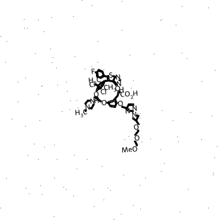 COCCOCCOCC1CN(c2nccc(COc3ccc4cc3C[C@H](C(=O)O)Oc3ncnc5sc(-c6ccc(F)cc6)c(c35)-c3c(C)c(Cl)c(c(Cl)c3C)O[C@H](CN3CCN(C)CC3)CO4)n2)C1